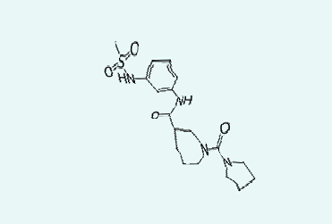 CS(=O)(=O)Nc1cccc(NC(=O)C2CCCN(C(=O)N3CCCC3)C2)c1